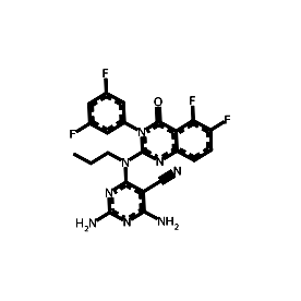 CCCN(c1nc(N)nc(N)c1C#N)c1nc2ccc(F)c(F)c2c(=O)n1-c1cc(F)cc(F)c1